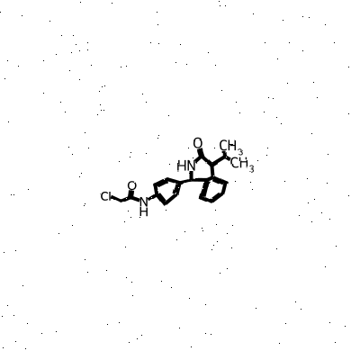 CC(C)C1C(=O)NC(c2ccc(NC(=O)CCl)cc2)c2ccccc21